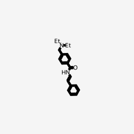 CCN(CC)Cc1ccc(C(=O)NC=Cc2ccccc2)cc1